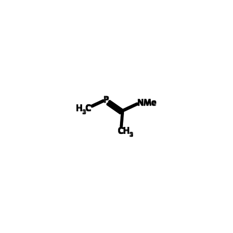 CN/C(C)=P/C